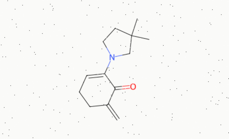 C=C1CCC=C(N2CCC(C)(C)C2)C1=O